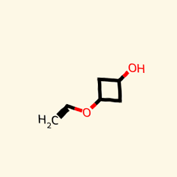 C=COC1CC(O)C1